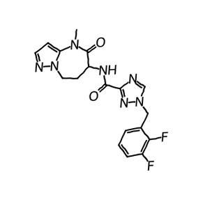 CN1C(=O)C(NC(=O)c2ncn(Cc3cccc(F)c3F)n2)CCn2nccc21